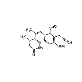 C#CCC1=C(OC)C=CC(C=C(C)C2=NNC(=O)CC2C)C1=S=O